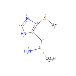 CC(=O)Sc1nc[nH]c1C[C@@H](N)C(=O)O